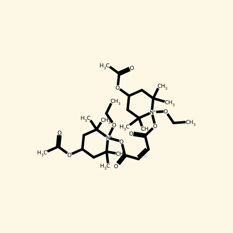 CCO[N+]1(OC(=O)/C=C\C(=O)O[N+]2(OCC)C(C)(C)CC(OC(C)=O)CC2(C)C)C(C)(C)CC(OC(C)=O)CC1(C)C